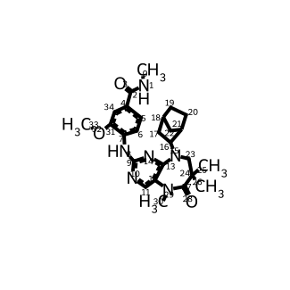 CNC(=O)c1ccc(Nc2ncc3c(n2)N(C2CC4CCC2C4)CC(C)(C)C(=O)N3C)c(OC)c1